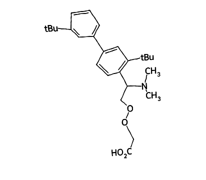 CN(C)C(COOCC(=O)O)c1ccc(-c2cccc(C(C)(C)C)c2)cc1C(C)(C)C